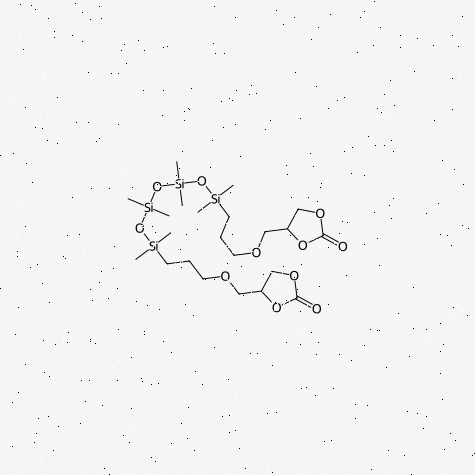 C[Si](C)(CCCOCC1COC(=O)O1)O[Si](C)(C)O[Si](C)(C)O[Si](C)(C)CCCOCC1COC(=O)O1